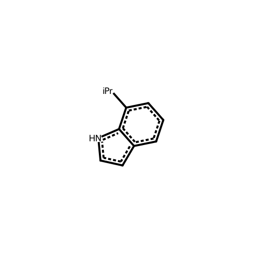 CC(C)c1cccc2cc[nH]c12